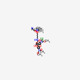 COCCN(C(C)=O)c1ccc2c(c1)Oc1cc(N(CCOC)C(=O)C(F)(F)F)ccc1C21OC(=O)c2ccc(C(=O)NCCCCCCOP(OCCC#N)N(C(C)C)C(C)C)cc21